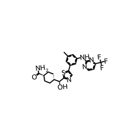 Cc1cc(Nc2nccc(C(F)(F)F)n2)cc(-c2cnc([C@@H](O)[C@H]3CC[C@H](C(N)=O)CC3)s2)c1